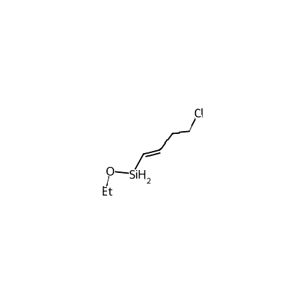 CCO[SiH2]C=CCCCl